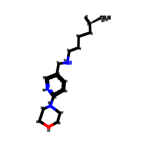 C[C@@H](CCCCNCc1ccc(N2CCOCC2)nc1)C(=O)O